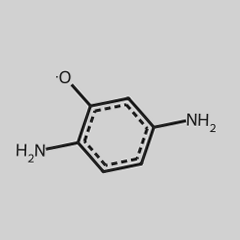 Nc1ccc(N)c([O])c1